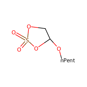 CCCCCOC1COS(=O)(=O)O1